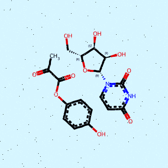 CC(=O)C(=O)Oc1ccc(O)cc1.O=c1ccn([C@@H]2O[C@H](CO)[C@@H](O)[C@H]2O)c(=O)[nH]1